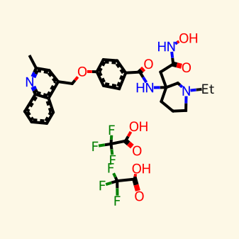 CCN1CCCC(CC(=O)NO)(NC(=O)c2ccc(OCc3cc(C)nc4ccccc34)cc2)C1.O=C(O)C(F)(F)F.O=C(O)C(F)(F)F